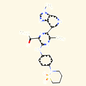 CNc1nc(Nc2ccc(N3CCCCS3(=O)=O)cc2)c(C(=O)OC)nc1-c1cncc2c1ncn2C